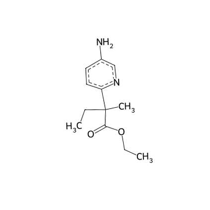 CCOC(=O)C(C)(CC)c1ccc(N)cn1